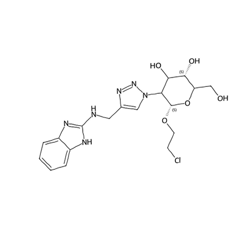 OCC1O[C@H](OCCCl)C(n2cc(CNc3nc4ccccc4[nH]3)nn2)C(O)[C@@H]1O